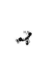 CC(C)(C)OC(=O)N1C[C@H](OCc2cccc(N)c2)C[C@@H]1COCc1cccc([N+](=O)[O-])c1